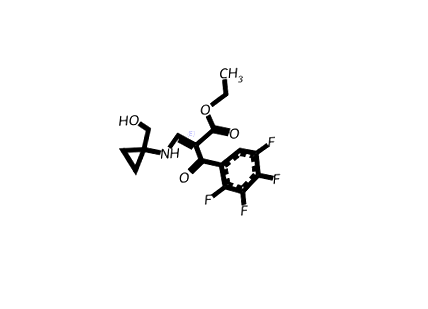 CCOC(=O)/C(=C/NC1(CO)CC1)C(=O)c1cc(F)c(F)c(F)c1F